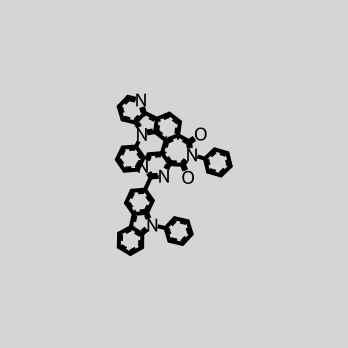 O=c1c2ccc3c4ncccc4n(-c4ccccc4)c3c2c2cnc(-c3ccc4c5ccccc5n(-c5ccccc5)c4c3)nc2c(=O)n1-c1ccccc1